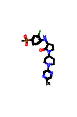 CS(=O)(=O)c1ccc(NC2CCN(C3CCN(c4cnc(C#N)cn4)CC3)C2=O)c(F)c1